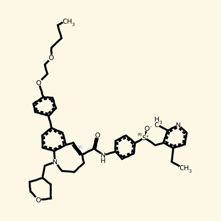 CCCCOCCOc1ccc(-c2ccc3c(c2)/C=C(/C(=O)Nc2ccc([S@@+]([O-])Cc4c(CC)ccnc4C)cc2)CCCN3CC2CCOCC2)cc1